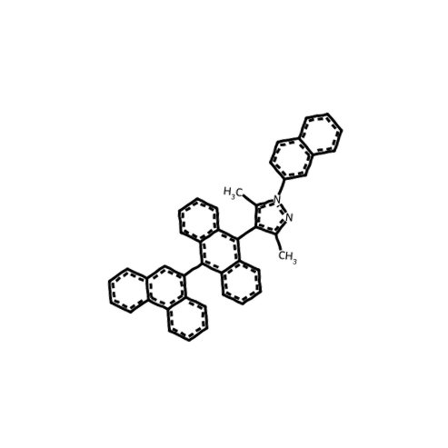 Cc1nn(-c2ccc3ccccc3c2)c(C)c1-c1c2ccccc2c(-c2cc3ccccc3c3ccccc23)c2ccccc12